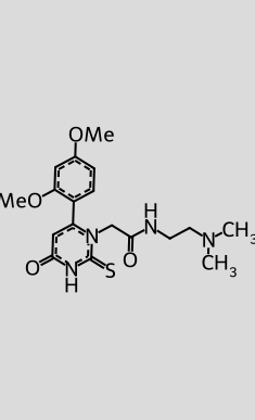 COc1ccc(-c2cc(=O)[nH]c(=S)n2CC(=O)NCCN(C)C)c(OC)c1